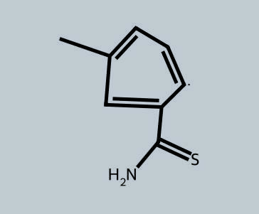 Cc1cc[c]c(C(N)=S)c1